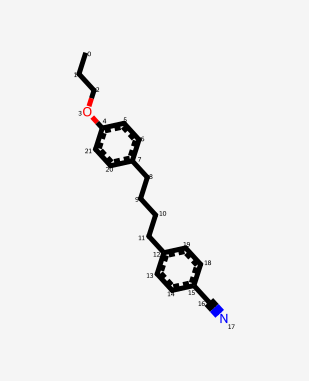 CCCOc1ccc(CCCCc2ccc(C#N)cc2)cc1